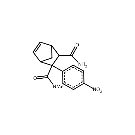 CNC(=O)C1(c2ccc([N+](=O)[O-])cc2)C2C=CC(C2)C1C(N)=O